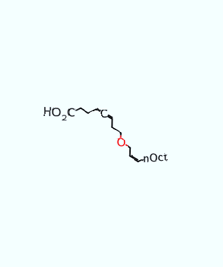 CCCCCCCC/C=C\COCCC=C=CCCC(=O)O